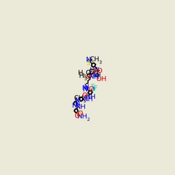 Cc1ncsc1-c1ccc(CNC(=O)[C@@H]2C[C@@H](O)CN2C(=O)[C@@H](NC(=O)CCCCn2cc(-c3cc(NC(=O)Nc4ccc(N(C)c5ccnc(Nc6cccc(S(N)(=O)=O)c6)n5)cc4)ccc3OC(F)(F)F)nn2)C(C)(C)C)cc1